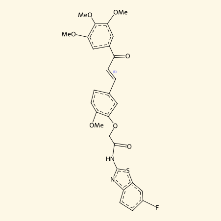 COc1ccc(/C=C/C(=O)c2cc(OC)c(OC)c(OC)c2)cc1OCC(=O)Nc1nc2ccc(F)cc2s1